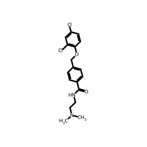 CN(C)CCNC(=O)c1ccc(COc2ccc(Cl)cc2Cl)cc1